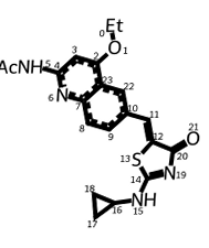 CCOc1cc(NC(C)=O)nc2ccc(/C=C3\SC(NC4CC4)=NC3=O)cc12